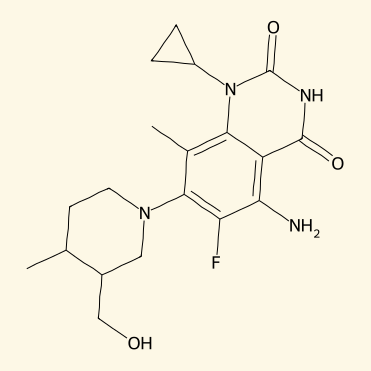 Cc1c(N2CCC(C)C(CO)C2)c(F)c(N)c2c(=O)[nH]c(=O)n(C3CC3)c12